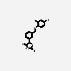 Cc1cc(Cl)ccc1OCc1cccc(C2SC(=O)NC2=O)c1